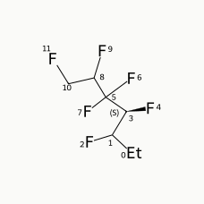 [CH2]CC(F)[C@H](F)C(F)(F)C(F)CF